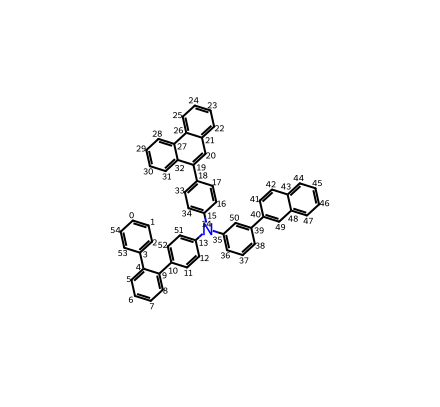 c1ccc(-c2ccccc2-c2ccc(N(c3ccc(-c4cc5ccccc5c5ccccc45)cc3)c3cccc(-c4ccc5ccccc5c4)c3)cc2)cc1